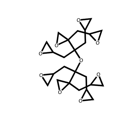 C1OC1CC1(C(CC2CO2)(CC2CO2)OC(CC2CO2)(CC2CO2)C2(CC3CO3)CO2)CO1